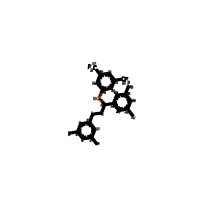 Cc1cc(C)cc(CCC(Sc2cc(C(F)(F)F)cc(C(F)(F)F)c2)c2cc(C)cc(C)c2)c1